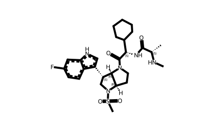 CN[C@@H](C)C(=O)N[C@H](C(=O)N1CC[C@@H]2[C@H]1[C@@H](c1c[nH]c3cc(F)ccc13)CN2S(C)(=O)=O)C1CCCCC1